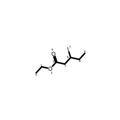 CCOC(=O)CC(I)CC